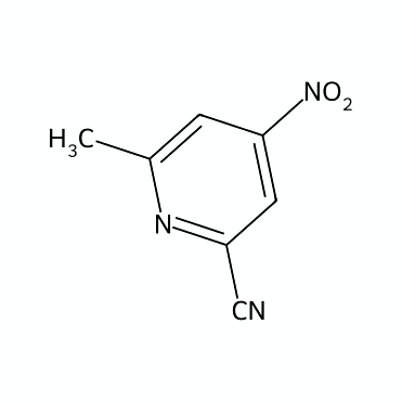 Cc1cc([N+](=O)[O-])cc(C#N)n1